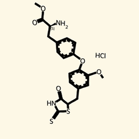 COC(=O)[C@@H](N)Cc1ccc(Oc2ccc(CC3SC(=S)NC3=O)cc2OC)cc1.Cl